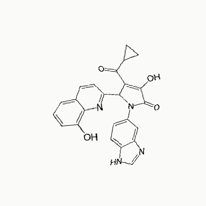 O=C(C1=C(O)C(=O)N(c2ccc3[nH]cnc3c2)C1c1ccc2cccc(O)c2n1)C1CC1